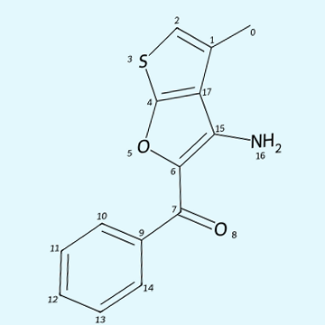 Cc1csc2oc(C(=O)c3ccccc3)c(N)c12